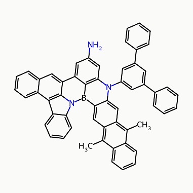 Cc1c2ccccc2c(C)c2cc3c(cc12)B1c2c(cc(N)cc2N3c2cc(-c3ccccc3)cc(-c3ccccc3)c2)-c2cc3ccccc3c3c4ccccc4n1c23